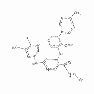 CCCONC(=O)c1cnc(Nc2cnc(F)c(C)c2)cc1Nc1cccc(-c2cnc(C)cn2)c1OC